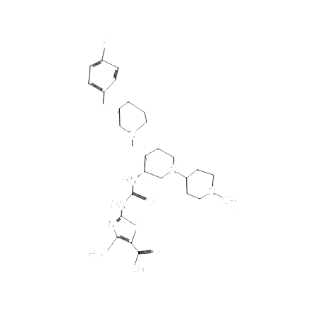 CC(=O)c1sc(NC(=O)N[C@@H]2CN(C3CCN(C)CC3)CC[C@H]2CN2CCC[C@@H](Cc3ccc(F)cc3)C2)nc1C